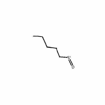 [CH2]CCCC[S+]=O